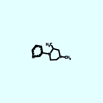 CC1CN(C)CCN1c1cccnc1